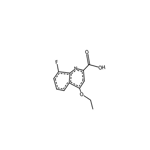 CCOc1cc(C(=O)O)nc2c(F)cccc12